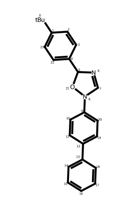 CC(C)(C)c1ccc(C2N=CN(c3ccc(-c4ccccc4)cc3)O2)cc1